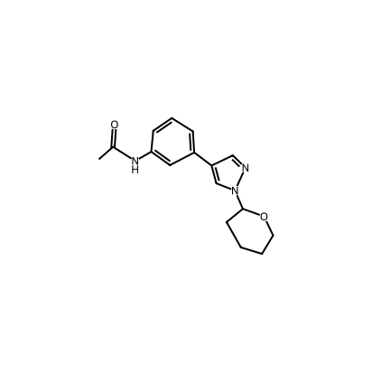 CC(=O)Nc1cccc(-c2cnn(C3CCCCO3)c2)c1